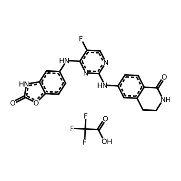 O=C(O)C(F)(F)F.O=C1NCCc2cc(Nc3ncc(F)c(Nc4ccc5oc(=O)[nH]c5c4)n3)ccc21